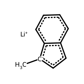 C[c-]1ccc2ccccc21.[Li+]